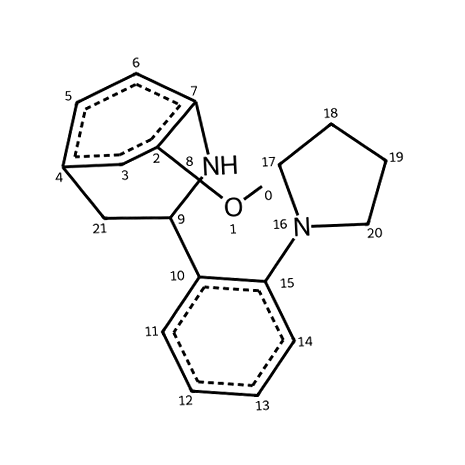 COc1cc2ccc1NC(c1ccccc1N1CCCC1)C2